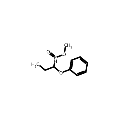 CCC(Oc1ccccc1)[PH](=O)OC